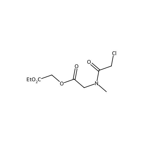 CCOC(=O)COC(=O)CN(C)C(=O)CCl